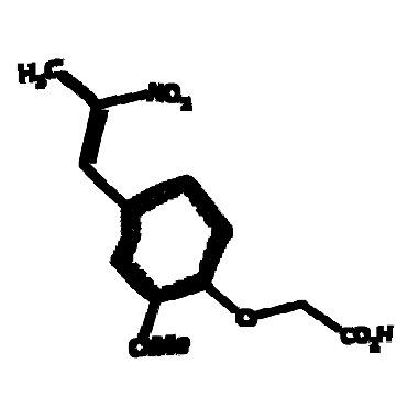 COc1cc(/C=C(/C)[N+](=O)[O-])ccc1OCC(=O)O